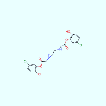 O=C(CNCCNCC(=O)Oc1cc(Cl)ccc1O)Oc1cc(Cl)ccc1O